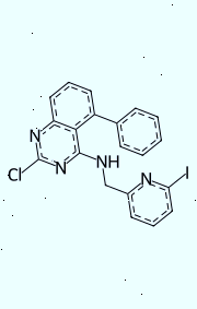 Clc1nc(NCc2cccc(I)n2)c2c(-c3ccccc3)cccc2n1